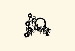 O=C(N[C@H]1CCCCC/C=C\C2C[C@@]2(C(=O)NS(=O)(=O)C2CC2)NC(=O)[C@@H]2C[C@@H](Oc3cc(-c4ccccc4)nc4c5ccccc5nn34)CN2C1=O)OC1CCCC1